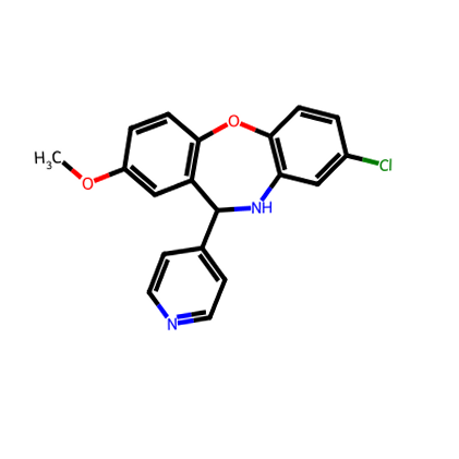 COc1ccc2c(c1)C(c1ccncc1)Nc1cc(Cl)ccc1O2